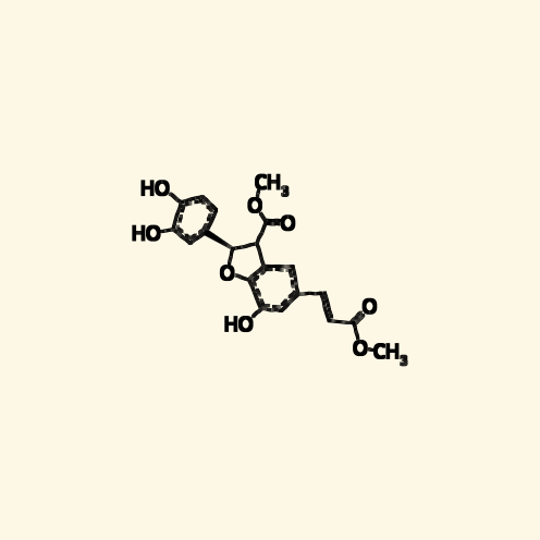 COC(=O)/C=C/c1cc(O)c2c(c1)C(C(=O)OC)[C@H](c1ccc(O)c(O)c1)O2